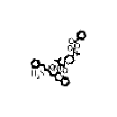 CC(C)[C@H](NC(=O)C(Cc1ccccc1)CC(O)C(N)Cc1ccccc1)C(=O)N1CCC(N(C)C(=O)OC(=O)c2ccccc2)CC1